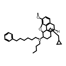 CCCCN(CCCCCCc1ccccc1)C1CC[C@@]2(O)[C@H]3Cc4ccc(OC)c5c4[C@@]2(CCN3CC2CC2)C1O5